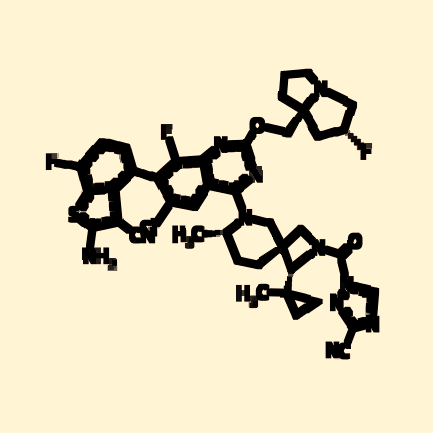 C[C@H]1CC[C@]2(CN(C(=O)n3cnc(C#N)n3)[C@@H]2C2(C)CC2)CN1c1nc(OC[C@@]23CCCN2C[C@H](F)C3)nc2c(F)c(-c3ccc(F)c4sc(N)c(C#N)c34)c(Cl)cc12